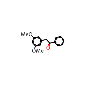 COc1cc(CC(=O)c2ccccc2)cc(OC)c1